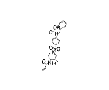 C=CC(=O)NC1CCN(S(=O)(=O)c2ccc(N(Cc3ccccc3)C(=O)O)cc2)CC1C